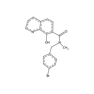 CN(Cc1ccc(Br)cc1)C(=O)c1ccc2cccnc2c1O